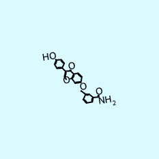 NC(=O)c1cccc(COc2ccc3c(=O)c(-c4ccc(O)cc4)coc3c2)c1